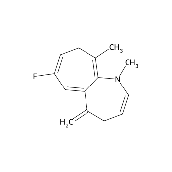 C=C1CC=CN(C)C2=C(C)CC=C(F)C=C12